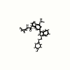 CNc1cc(-c2nn(CCN3CCN(C)CC3)c3ncccc23)nc2c(C(=O)N[C@H]3C[C@H]3F)cnn12